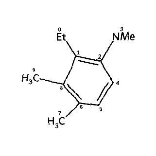 CCc1c(NC)ccc(C)c1C